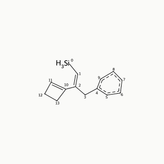 [SiH3]C=C(Cc1ccccc1)C1=CCC1